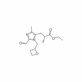 CCOC(=O)C(F)Cc1c(C)nc(C=O)n1CC1CCO1